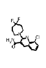 NC(=O)c1cc2cccc(Cl)c2nc1N1CCCC(F)(F)CC1